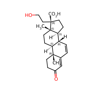 C[C@]12CCC(=O)C=C1C=C[C@@H]1[C@@H]2CC[C@@]2(C)[C@H]1CC[C@]2(CCO)C(=O)O